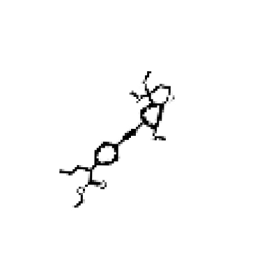 CCCC(C(=O)OCC)c1ccc(C#Cc2cc3c(cc2SC)OCCC3(SC)SC)cc1